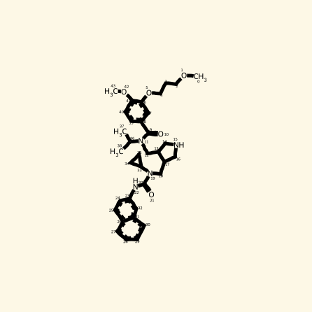 COCCCOc1cc(C(=O)N(CC2CNCC2CN(C(=O)Nc2ccc3ccccc3c2)C2CC2)C(C)C)ccc1OC